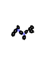 c1ccc(N(c2ccc(-c3cc4ccccc4c4ccccc34)cc2)c2ccc(-n3c4ccccc4c4cc5ccccc5cc43)cc2)cc1